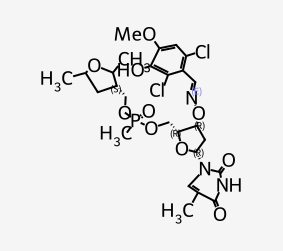 COc1cc(Cl)c(/C=N/O[C@@H]2C[C@H](n3cc(C)c(=O)[nH]c3=O)O[C@@H]2COP(C)(=O)OC[C@@H]2CC(C)OC2C)c(Cl)c1O